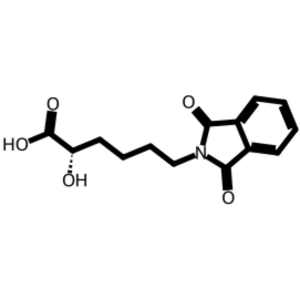 O=C(O)[C@@H](O)CCCCN1C(=O)c2ccccc2C1=O